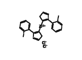 Cc1ccccc1C1=[C]([Zr+2][C]2=C(c3ccccc3C)C=CC2)CC=C1.[Cl-].[Cl-]